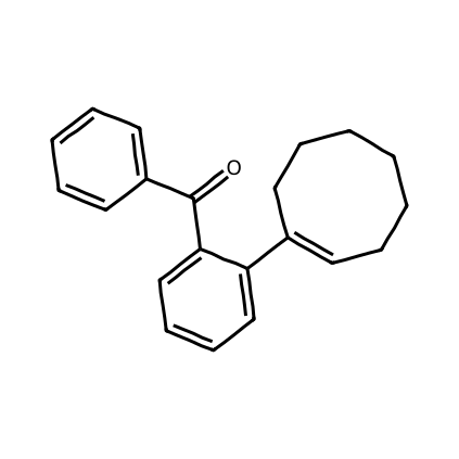 O=C(c1ccccc1)c1ccccc1C1=CCCCCCC1